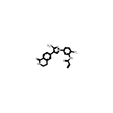 C=CC(=O)Nc1cc(-n2cc(-c3ccc4c(c3)CCNC4=O)c([N+](=O)[O-])n2)ccc1C(F)(F)F